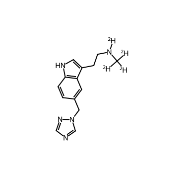 [2H]N(CCc1c[nH]c2ccc(Cn3cncn3)cc12)C([2H])([2H])[2H]